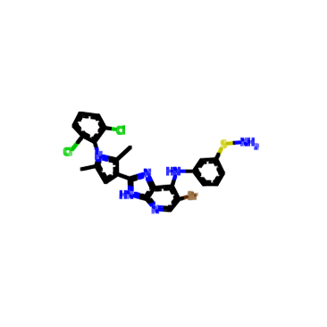 Cc1cc(-c2nc3c(Nc4cccc(SN)c4)c(Br)cnc3[nH]2)c(C)n1-c1c(Cl)cccc1Cl